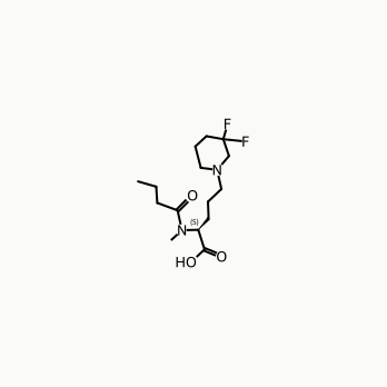 CCCC(=O)N(C)[C@@H](CCCN1CCCC(F)(F)C1)C(=O)O